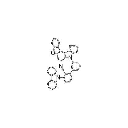 N#Cc1c(-c2cccc(-n3c4ccccc4c4c5c(ccc43)oc3ccccc35)c2)cccc1-n1c2ccccc2c2ccccc21